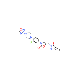 CC(=O)NCC1CN(c2ccc(N3CCN(c4ncon4)CC3)c(F)c2)C(=O)O1